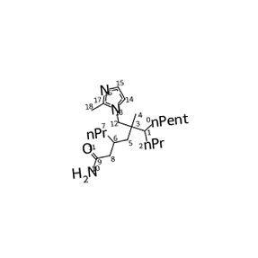 CCCCCC(CCC)C(C)(CC(CCC)CC(N)=O)Cn1ccnc1C